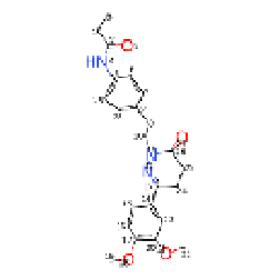 CCC(=O)Nc1ccc(CCN2N=C(c3ccc(OC)c(OC)c3)CCC2=O)cc1